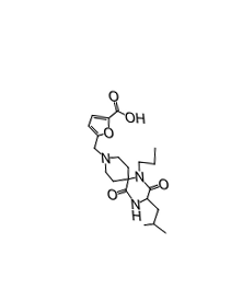 CCCN1C(=O)C(CC(C)C)NC(=O)C12CCN(Cc1ccc(C(=O)O)o1)CC2